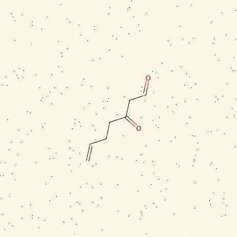 C=CCCC(=O)CC=O